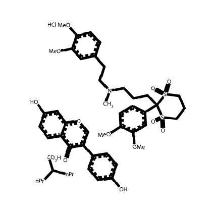 CCCC(CCC)C(=O)O.COc1ccc(CCN(C)CCCC2(c3ccc(OC)c(OC)c3)S(=O)(=O)CCCS2(=O)=O)cc1OC.Cl.O=c1c(-c2ccc(O)cc2)coc2cc(O)ccc12